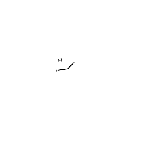 FCF.I